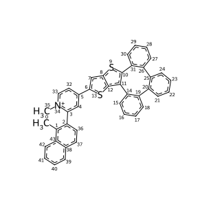 Cc1c(-c2cc(-c3cc4sc5c(c4s3)-c3ccccc3-c3ccccc3-c3ccccc3-5)cc[n+]2C)ccc2ccccc12